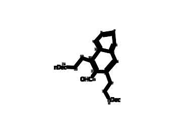 CCCCCCCCCCCCc1cc2ccccc2c(CCCCCCCCCCCC)c1C=O